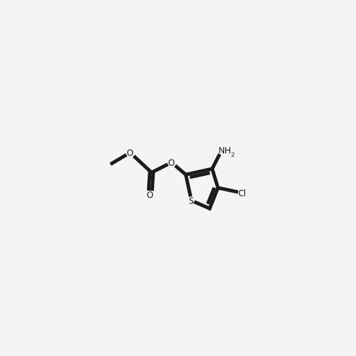 COC(=O)Oc1scc(Cl)c1N